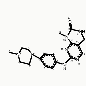 CN1CCN(c2ccc(Nc3ncc4c(n3)N(C)C(=O)NC4)cc2)CC1